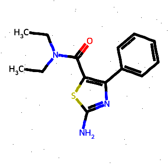 CCN(CC)C(=O)c1sc(N)nc1-c1ccccc1